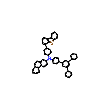 c1ccc(-c2cc(-c3ccccc3)cc(-c3ccc(N(c4ccc(-c5cccc6c5sc5ccccc56)cc4)c4ccc5c(ccc6ccccc65)c4)cc3)c2)cc1